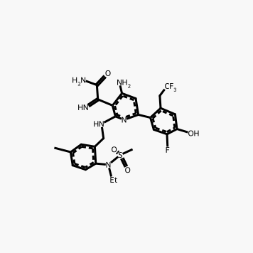 CCN(c1ccc(C)cc1CNc1nc(-c2cc(F)c(O)cc2CC(F)(F)F)cc(N)c1C(=N)C(N)=O)S(C)(=O)=O